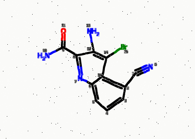 N#Cc1cccc2nc(C(N)=O)c(N)c(Br)c12